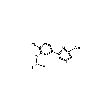 CNc1cncc(-c2ccc(Cl)c(OC(F)F)c2)n1